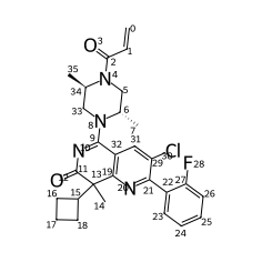 C=CC(=O)N1C[C@H](C)N(C2=NC(=O)C(C)(C3CCC3)c3nc(-c4ccccc4F)c(Cl)cc32)C[C@H]1C